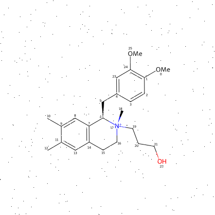 COc1ccc(C[C@@H]2c3cc(C)c(C)cc3CC[N@@+]2(C)CCCO)cc1OC